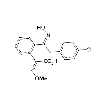 CO/C=C(\C(=O)O)c1ccccc1/C(Cc1ccc(Cl)cc1)=N\O